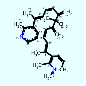 C=N/C(C)=C(\C=C/C)C(/C)=C/C=C\C(=C)C(C)(C)C(=C)/C=C\C=C(/C)c1cccnc1C